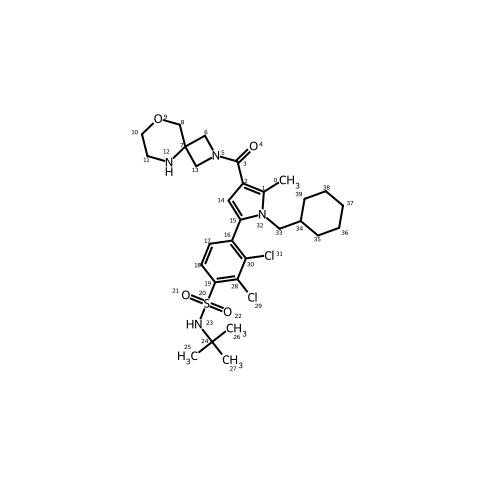 Cc1c(C(=O)N2CC3(COCCN3)C2)cc(-c2ccc(S(=O)(=O)NC(C)(C)C)c(Cl)c2Cl)n1CC1CCCCC1